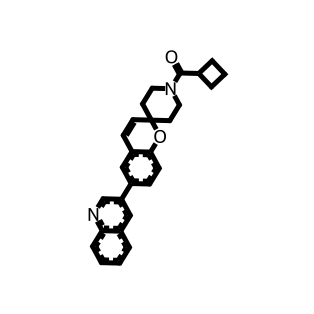 O=C(C1CCC1)N1CCC2(C=Cc3cc(-c4cnc5ccccc5c4)ccc3O2)CC1